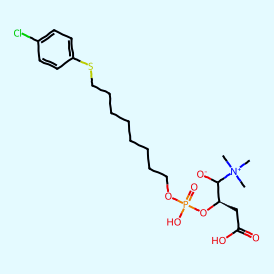 C[N+](C)(C)C([O-])[C@@H](CC(=O)O)OP(=O)(O)OCCCCCCCCSc1ccc(Cl)cc1